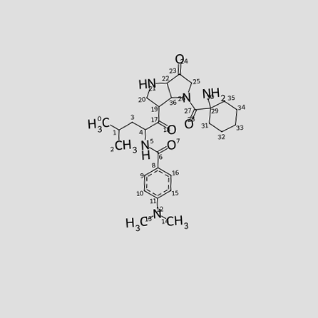 CC(C)CC(NC(=O)c1ccc(N(C)C)cc1)C(=O)C1CNC2C(=O)CN(C(=O)C3(N)CCCCC3)C12